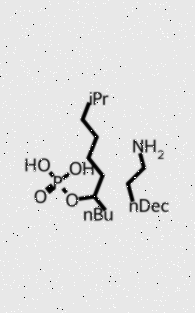 CCCCC(CCCCC(C)C)OP(=O)(O)O.CCCCCCCCCCCCN